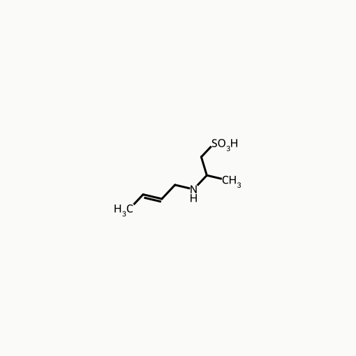 C/C=C/CNC(C)CS(=O)(=O)O